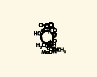 COc1nn(C)cc1C(=O)NS1(=O)=NC(=O)c2ccc3c(c2)N(CC2CCC2C(O)/C=C\CC(C)C1C)CC1(CCCc2cc(Cl)ccc21)CO3